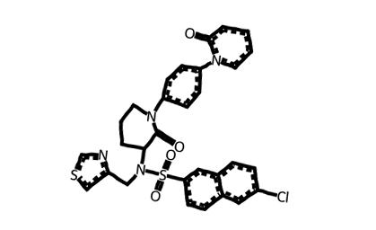 O=C1C(N(Cc2cscn2)S(=O)(=O)c2ccc3cc(Cl)ccc3c2)CCCN1c1ccc(-n2ccccc2=O)cc1